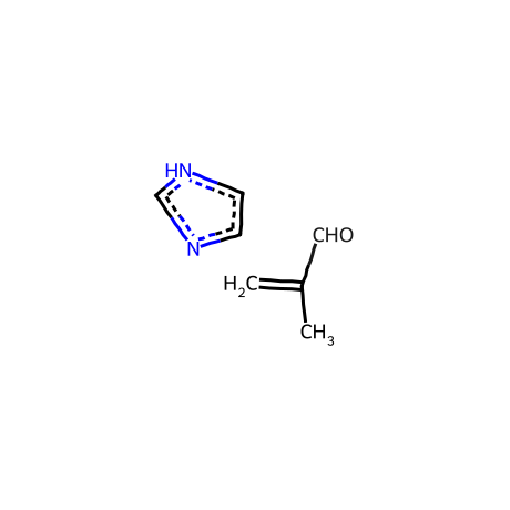 C=C(C)C=O.c1c[nH]cn1